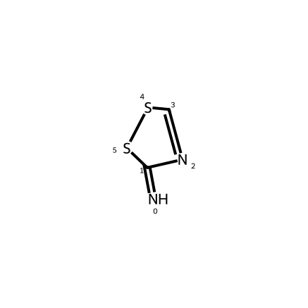 N=c1ncss1